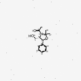 CC(=O)N1[C@@H](CO)[C@H](c2ccccc2)OC1(C)C